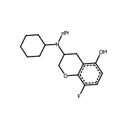 CCCN(C1CCCCC1)C1COc2c(F)ccc(O)c2C1